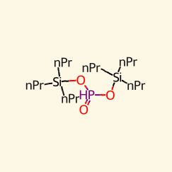 CCC[Si](CCC)(CCC)O[PH](=O)O[Si](CCC)(CCC)CCC